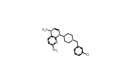 Cc1ccc2c(n1)N(C1CCN(Cc3cccc(Cl)c3)CC1)C=CN2C